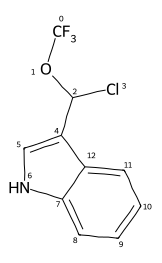 FC(F)(F)OC(Cl)c1c[nH]c2ccccc12